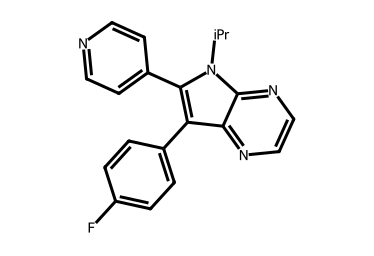 CC(C)n1c(-c2ccncc2)c(-c2ccc(F)cc2)c2nccnc21